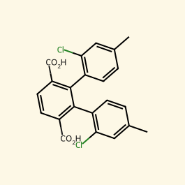 Cc1ccc(-c2c(C(=O)O)ccc(C(=O)O)c2-c2ccc(C)cc2Cl)c(Cl)c1